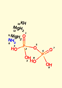 N.O=P(O)(O)OP(=O)(O)O.[KH].[MgH2].[MgH2]